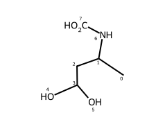 CC(CC(O)O)NC(=O)O